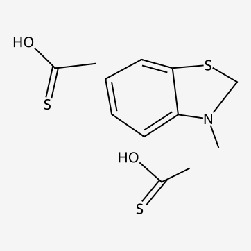 CC(O)=S.CC(O)=S.CN1CSc2ccccc21